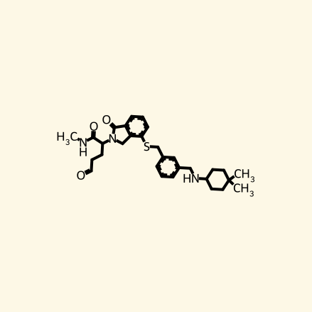 CNC(=O)C(CCC=O)N1Cc2c(SCc3cccc(CNC4CCC(C)(C)CC4)c3)cccc2C1=O